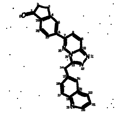 O=C1CCc2cc(-c3ccc4nnc(Cc5ccc6ncccc6c5)n4n3)ccc21